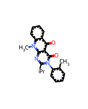 Cc1ccccc1-n1c(C(C)C)nc2c(c(=O)c3ccccc3n2C)c1=O